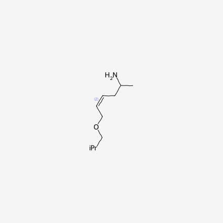 CC(C)COC/C=C\CC(C)N